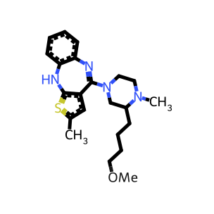 COCCCCC1CN(C2=Nc3ccccc3Nc3sc(C)cc32)CCN1C